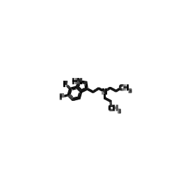 CCCN(CCC)CCc1c[nH]c2c(F)c(F)ccc12